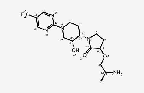 C[C@H](N)CO[C@@H]1CCN([C@H]2CCN(c3ncc(C(F)(F)F)cn3)C[C@H]2O)C1=O